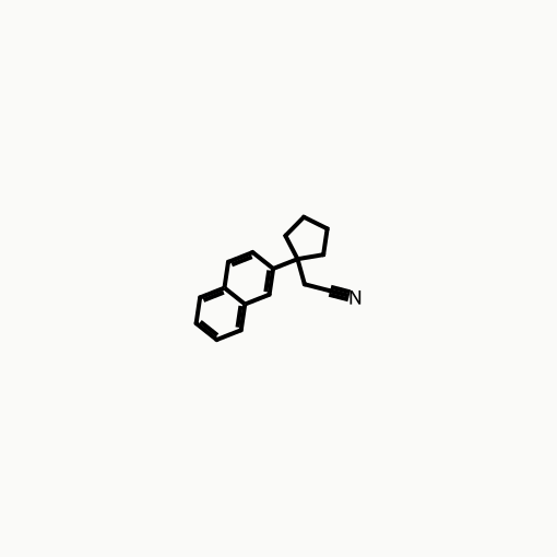 N#CCC1(c2ccc3ccccc3c2)CCCC1